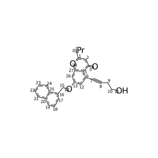 CC(C)c1cc(=O)c2c(C#CCCO)cc(OCc3cccc4ccccc34)cc2o1